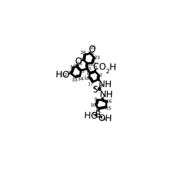 O=C(O)c1cc(NC(=S)Nc2ccc(B(O)O)cc2)ccc1-c1c2ccc(=O)cc-2oc2cc(O)ccc12